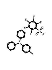 Cc1ccc([S+](c2ccccc2)c2ccccc2)cc1.O=S(=O)([O-])c1c(F)c(F)c(F)c(F)c1F